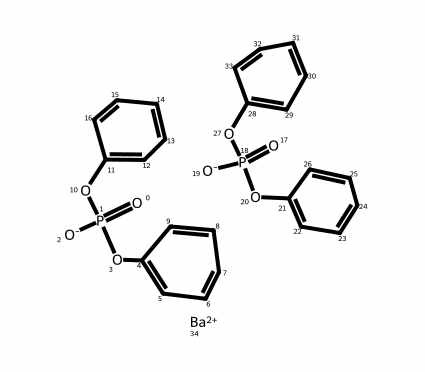 O=P([O-])(Oc1ccccc1)Oc1ccccc1.O=P([O-])(Oc1ccccc1)Oc1ccccc1.[Ba+2]